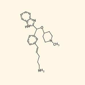 CN1CCC(OC(c2cccc(C=CCCCN)c2)c2nc3ccccc3[nH]2)CC1